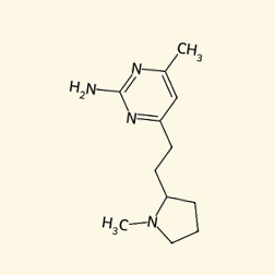 Cc1cc(CCC2CCCN2C)nc(N)n1